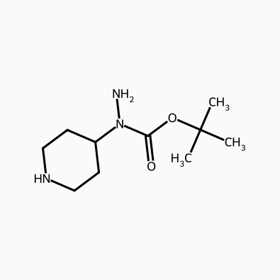 CC(C)(C)OC(=O)N(N)C1CCNCC1